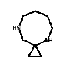 C1CCNC2(CC2)CNC1